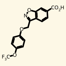 O=C(O)c1ccc2c(COc3ccc(OC(F)(F)F)cc3)noc2c1